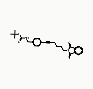 CC(C)(C)OC(=O)NCc1ccc(C#CCCCCN2C(=O)c3ccccc3C2=O)cc1